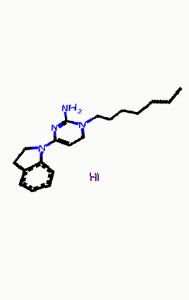 CCCCCCCN1CC=C(N2CCc3ccccc32)N=C1N.I